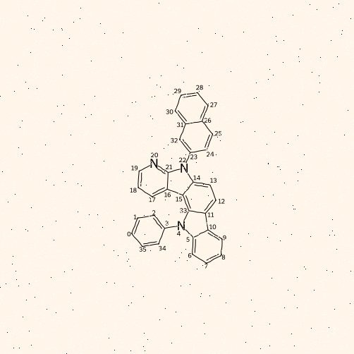 c1ccc(-n2c3ccccc3c3ccc4c(c5cccnc5n4-c4ccc5ccccc5c4)c32)cc1